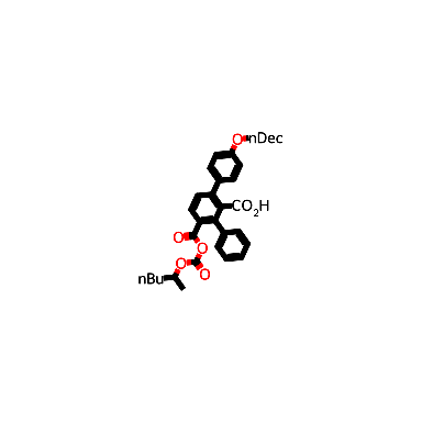 CCCCCCCCCCOc1ccc(-c2ccc(C(=O)OC(=O)OC(C)CCCC)c(-c3ccccc3)c2C(=O)O)cc1